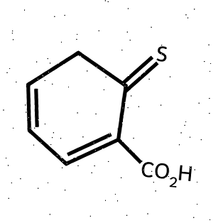 O=C(O)C1=CC=CCC1=S